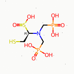 O=S(O)[C@H](CS)N(CP(=O)(O)O)CP(=O)(O)O